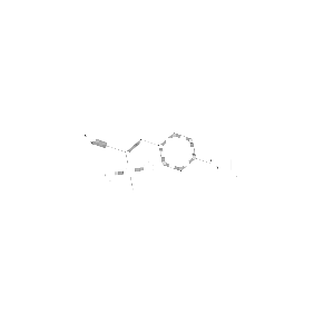 CS(=O)(=O)/C(C#N)=C\c1ccc(N)cc1